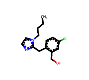 CCCCn1ccnc1Cc1ccc(Cl)cc1CO